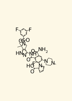 CN1CCN(c2cc(C(N)=O)c(C(=O)Nc3n[nH]c4c3CN(S(=O)(=O)c3cc(F)cc(F)c3)C4(C)C)c(F)c2-n2cccc2C(=O)O)CC1